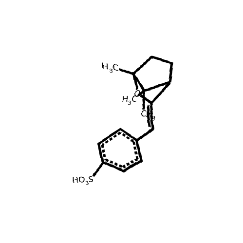 CC12CCC(C(=Cc3ccc(S(=O)(=O)O)cc3)O1)C2(C)C